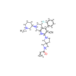 C=CC(=O)N1CC2(CCN(c3nc4c(c(-c5ccccc5F)c3C#N)CCN([C@@H]3CCCN(C)C3)C4)C2)C1